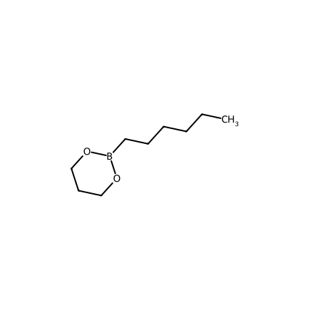 CCCCCCB1OCCCO1